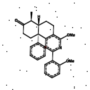 COc1ccccc1-c1nc(OC)c2c(n1)[C@@]1(c3ccccc3)CCC(=O)[C@@H](C)[C@@H]1CC2